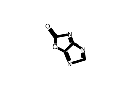 O=C1N=C2N=CN=C2O1